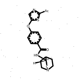 CC(=O)c1ncc(Oc2ccc(C(=O)N[C@H]3CN4CCC3CC4)cc2)s1